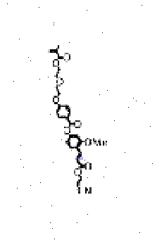 C=C(C)C(=O)OCCOCCOc1ccc(C(=O)Oc2ccc(/C=C/C(=O)OCCC#N)c(OC)c2)cc1